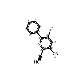 C#Cc1nc(-c2ccccc2)c(F)cc1C#N